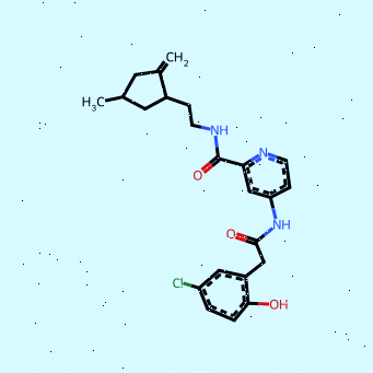 C=C1CC(C)CC1CCNC(=O)c1cc(NC(=O)Cc2cc(Cl)ccc2O)ccn1